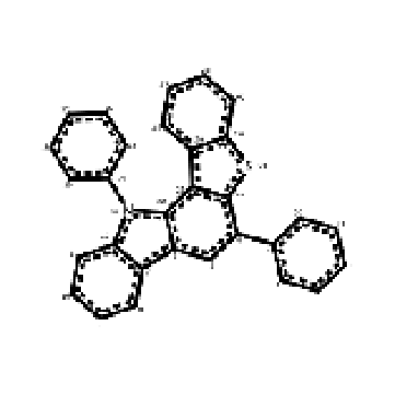 c1ccc(-c2cc3c4ccccc4n(-c4ccccc4)c3c3c2sc2ccccc23)cc1